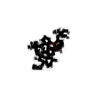 BC(B)(B)Oc1cccc(-c2nnc(NS(=O)(=O)[C@@H](C)[C@H](OC)c3ncc(C)cn3)n2-c2c(OC(B)(B)B)cccc2OC(B)(B)B)n1